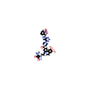 COc1cc2c(cc1OC)[C@]1(CC[C@H](C(=O)N3CCN(c4ncnc5c4cnn5Cc4ccccc4[N+](=O)[O-])CC3)CC1)N(CCCNc1c(N(C)C)c(=O)c1=O)CC2